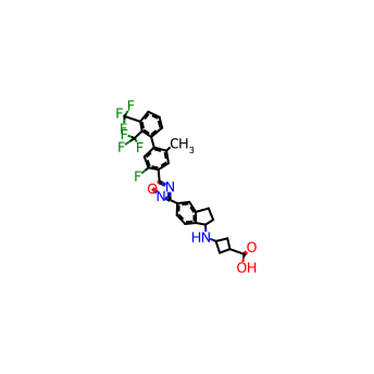 Cc1cc(-c2nc(-c3ccc4c(c3)CCC4NC3CC(C(=O)O)C3)no2)c(F)cc1-c1cccc(C(F)(F)F)c1C(F)(F)F